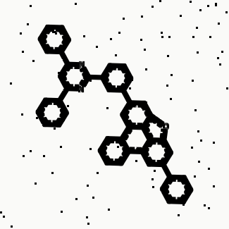 c1ccc(-c2cc3oc4cc(-c5cccc(-c6nc(-c7ccccc7)cc(-c7ccccc7)n6)c5)cc5c6ccccc6c(c2)c3c45)cc1